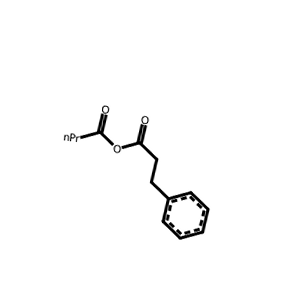 CCCC(=O)OC(=O)CCc1ccccc1